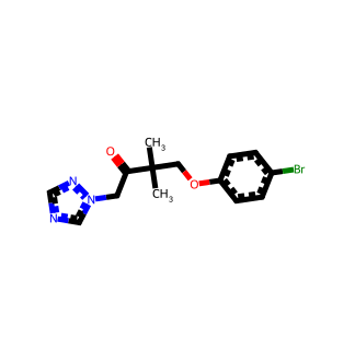 CC(C)(COc1ccc(Br)cc1)C(=O)Cn1cncn1